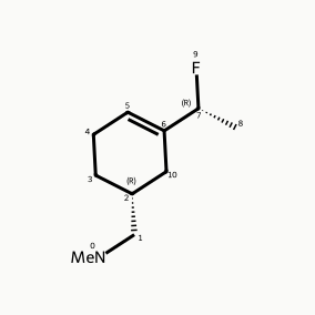 CNC[C@@H]1CCC=C([C@@H](C)F)C1